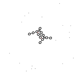 c1ccc(-c2ccc(-c3ccc(N(c4ccccc4)c4ccc5c(c4)C4(c6ccccc6-c6ccccc64)c4cc(N(c6ccc(-c7ccccc7)cc6)c6ccc(-c7ccccc7)cc6)ccc4-5)cc3)cc2)cc1